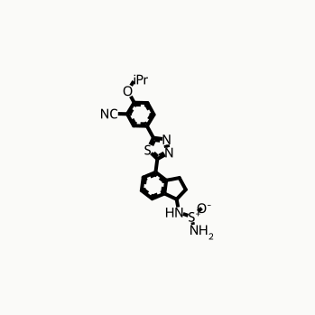 CC(C)Oc1ccc(-c2nnc(-c3cccc4c3CCC4N[S+](N)[O-])s2)cc1C#N